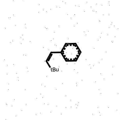 CC(C)(C)/[C]=C\c1ccccc1